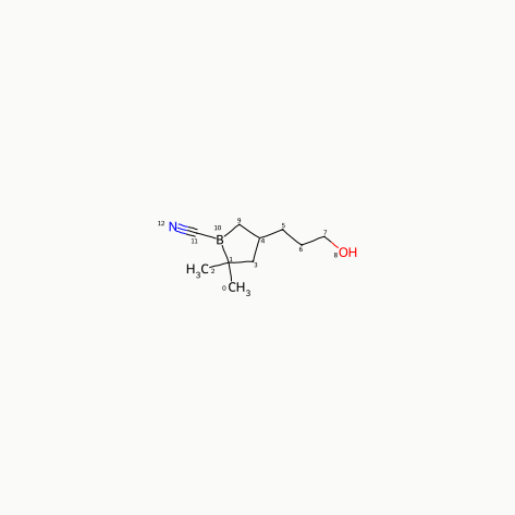 CC1(C)CC(CCCO)CB1C#N